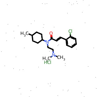 CC1CCC(N(CCN(C)C)C(=O)C=Cc2ccccc2Cl)CC1.Cl